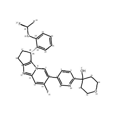 OC1(c2ccc(-c3cn4c5c(nc4cc3F)CC[C@@H]5c3ccccc3OC(F)F)cn2)CCOCC1